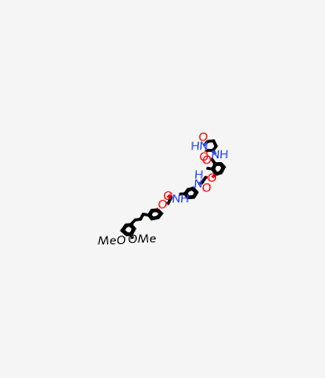 COc1ccc(CCCc2cccc(OCC(=O)NCc3cccc(NC(=O)COc4cccc(C(=O)NC5CCC(=O)NC5=O)c4C)c3)c2)cc1OC